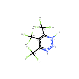 F[n+]1nnc(C(F)(F)F)c(C(F)(F)F)c1C(F)(F)F